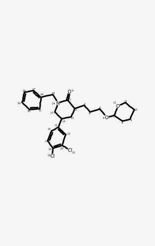 O=C1C(CCCOC2CCCCO2)CC(c2ccc(Cl)c(Cl)c2)CN1Cc1ccccc1